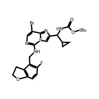 CC(C)(C)OC(=O)NC(c1cn2c(NCc3c(F)ccc4c3CCO4)ncc(Br)c2n1)C1CC1